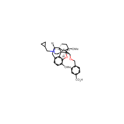 COc1ccc2c3c1O[C@H]1[C@@]4(OC)CC[C@@]5(C[C@@H]4COCc4ccc(C(=O)O)cc4)[C@@H](C2)N(CC2CC2)CC[C@]315